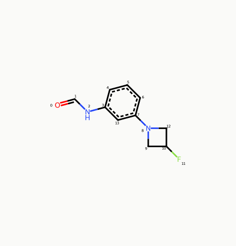 O=CNc1cccc(N2CC(F)C2)c1